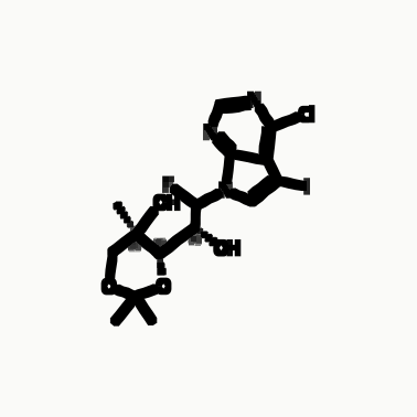 CC1(C)OC[C@@](C)(O)[C@H]([C@@H](O)C(F)n2cc(I)c3c(Cl)ncnc32)O1